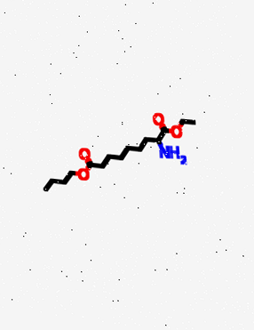 CCCCOC(=O)CCCCCCC(N)C(=O)OCC